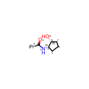 CC(C)C(=O)N[C@H]1CCC[C@H]1O